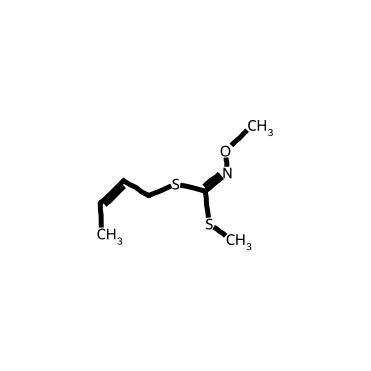 C/C=C\CS/C(=N\OC)SC